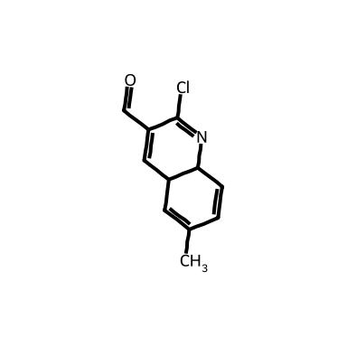 CC1=CC2C=C(C=O)C(Cl)=NC2C=C1